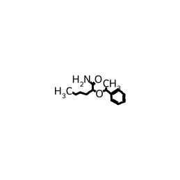 CCCCC(OC(C)c1ccccc1)C(N)=O